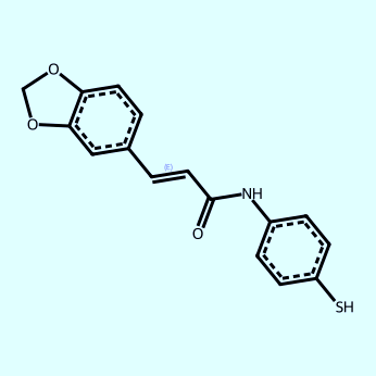 O=C(/C=C/c1ccc2c(c1)OCO2)Nc1ccc(S)cc1